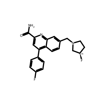 NC(=O)c1cc(-c2ccc(F)cc2)c2ccc(CN3CC[C@@H](F)C3)cc2n1